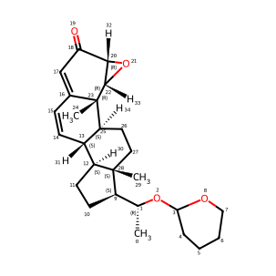 C[C@@H](OC1CCCCO1)[C@H]1CC[C@H]2[C@@H]3C=CC4=CC(=O)[C@@H]5O[C@@H]5[C@]4(C)[C@H]3CC[C@]12C